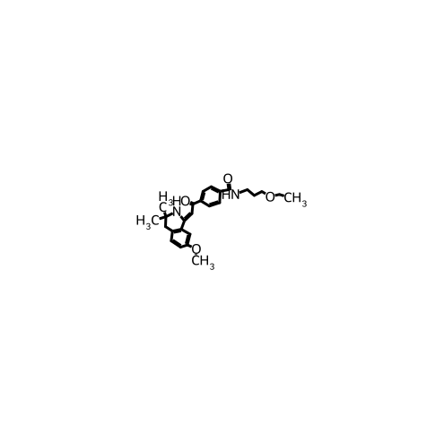 CCOCCCNC(=O)c1ccc(C(=O)/C=C2\NC(C)(C)Cc3ccc(OC)cc32)cc1